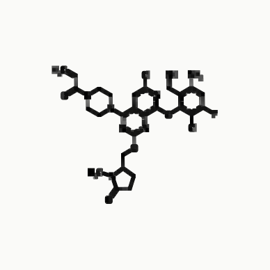 C=CC(=O)N1CCN(c2nc(OCC3CCC(=O)N3C)nc3c(Oc4c(Cl)c(F)cc(N)c4C=N)nc(Cl)cc23)CC1